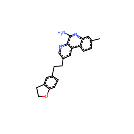 Cc1ccc2c(c1)nc(N)c1ncc(CCc3ccc4c(c3)CCO4)cc12